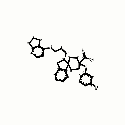 C[C@@H](COc1ccnc2c1CCC2)C[C@@H]1Cc2ccccc2C12CCC(Nc1cccc(Cl)c1)(C(=O)O)CC2